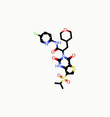 CC(C)S(=O)(=O)c1csc2c(=O)n(C(CC3CCOCC3)C(=O)Nc3ccc(F)cn3)c(=O)[nH]c12